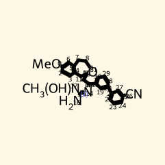 COc1ccc2c(c1)CCC[C@@]1(C2)C[C@@H](/N=C(/N)N(C)O)c2cc(-c3cccc(C#N)c3)ccc2O1